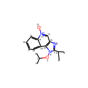 CC(C)On1c(C(C)C)nc2c[n+]([O-])c3ccccc3c21